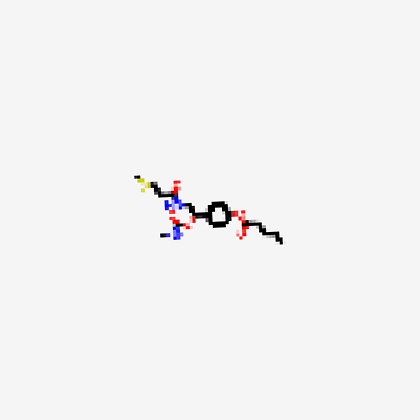 CCCCC(=O)Oc1ccc(C(CNC(=O)CCSC)OC(=O)NC)cc1